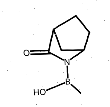 CB(O)N1C(=O)C2CCC1C2